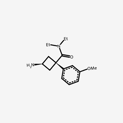 CCN(CC)C(=O)[C@]1(c2cccc(OC)c2)C[C@@H](N)C1